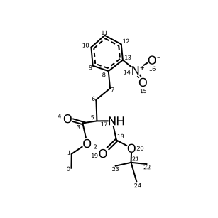 CCOC(=O)C(CCc1ccccc1[N+](=O)[O-])NC(=O)OC(C)(C)C